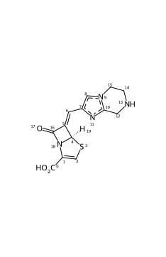 O=C(O)C1=CS[C@@H]2/C(=C\c3cn4c(n3)CNCC4)C(=O)N12